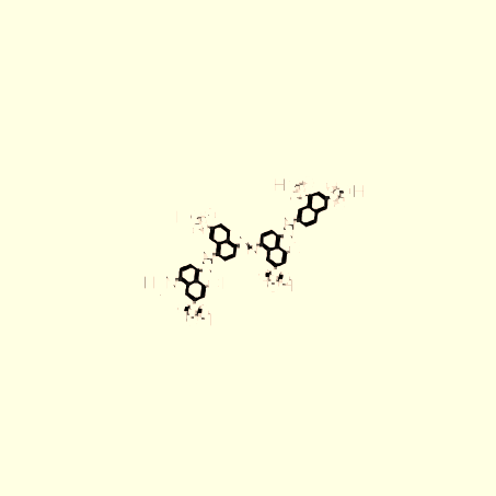 Nc1ccc(N=Nc2ccc(N=Nc3ccc(N=Nc4ccc5cc(S(=O)(=O)O)cc(S(=O)(=O)O)c5c4)c4c(O)cc(S(=O)(=O)O)cc34)c3ccc(S(=O)(=O)O)cc23)c2c(O)cc(S(=O)(=O)O)cc12